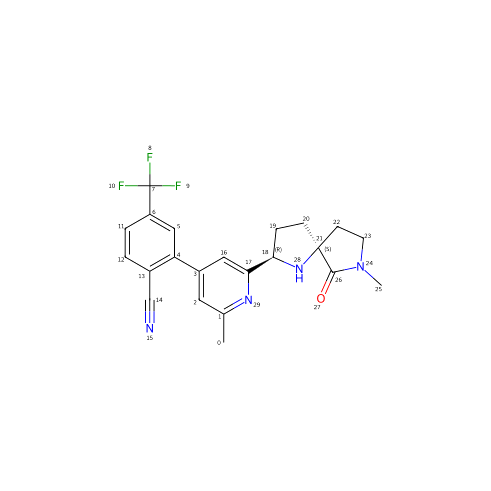 Cc1cc(-c2cc(C(F)(F)F)ccc2C#N)cc([C@H]2CC[C@@]3(CCN(C)C3=O)N2)n1